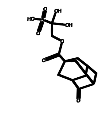 O=C1C2CC3CC1CC(C(=O)OCC(O)(O)S(=O)(=O)O)(C3)C2